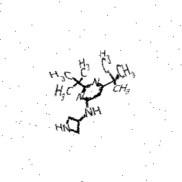 CC(C)(C)c1cc(NC2CNC2)nc(C(C)(C)C)n1